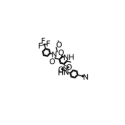 COCCN(C(=O)c1cc(S(=O)(=O)Nc2ccc(C#N)cc2)c(C)[nH]c1=O)c1cccc(C(F)(F)F)c1